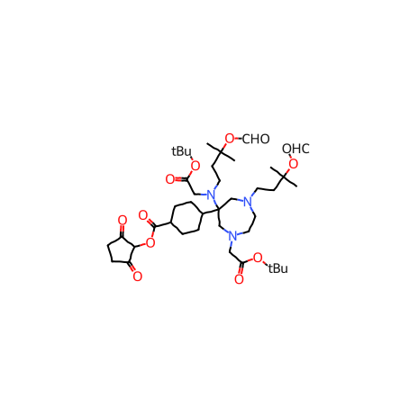 CC(C)(C)OC(=O)CN1CCN(CCC(C)(C)OC=O)CC(C2CCC(C(=O)OC3C(=O)CCC3=O)CC2)(N(CCC(C)(C)OC=O)CC(=O)OC(C)(C)C)C1